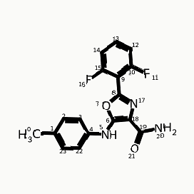 Cc1ccc(Nc2oc(-c3c(F)cccc3F)nc2C(N)=O)cc1